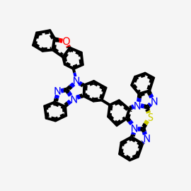 c1ccc2c(c1)nc1sc3nc4ccccc4n3c3cc(-c4ccc5c(c4)n4c6ccccc6nc4n5-c4ccc5oc6ccccc6c5c4)ccc3n12